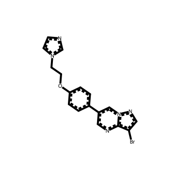 Brc1cnn2cc(-c3ccc(OCCn4ccnc4)cc3)cnc12